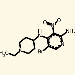 CCN1CCC(Nc2c(Br)cnc(N)c2[N+](=O)[O-])CC1